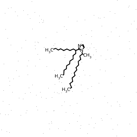 CCCCCCCCCCCCCC(C)n1ccnc1C(CCCCCCCC)CCCCCCCCCC